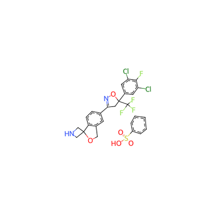 Fc1c(Cl)cc(C2(C(F)(F)F)CC(c3ccc4c(c3)COC43CNC3)=NO2)cc1Cl.O=S(=O)(O)c1ccccc1